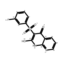 O=c1c(S(=O)(=O)c2cccc(F)c2)c(O)[nH]c2ncccc12